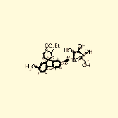 CCOC(=O)N1CCC2(CC1)c1cc(C)ccc1-c1ccc(C#C[C@H]3O[C@H](CO)[C@@H](O)[C@H](O)[C@@H]3O)cc12